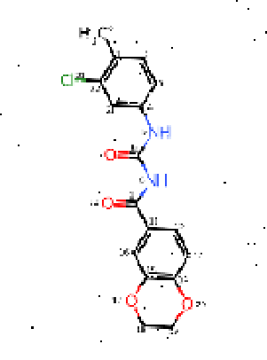 Cc1ccc(NC(=O)NC(=O)c2ccc3c(c2)OCCO3)cc1Cl